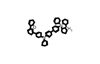 CC1CCCCC1[Si](C1=CCC(C2C=CC(N(C3=CCCC=C3)C3CC=C(C4=C5OC6CCC=CC6C5=CCC4)CC3)=CC2)C=C1)(C1CC=CCC1)C1CCCCC1